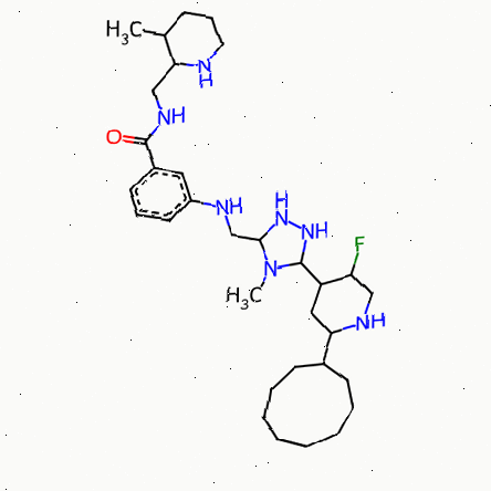 CC1CCCNC1CNC(=O)c1cccc(NCC2NNC(C3CC(C4CCCCCCCC4)NCC3F)N2C)c1